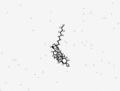 C#C[C@]1(OC(=O)CCCCCCCCC)CC[C@H]2[C@@H]3CCC4=CC(=O)CC[C@@H]4[C@H]3CC[C@@]21CC